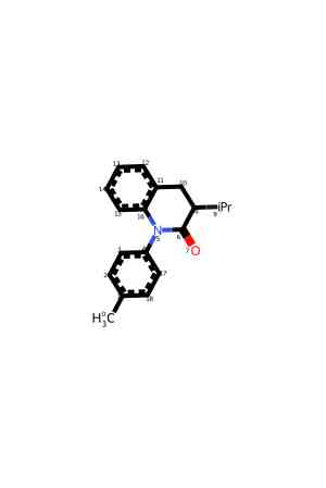 Cc1ccc(N2C(=O)C(C(C)C)Cc3ccccc32)cc1